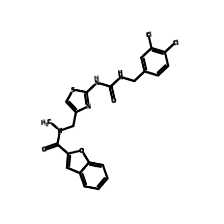 CN(Cc1csc(NC(=O)NCc2ccc(Cl)c(Cl)c2)n1)C(=O)c1cc2ccccc2o1